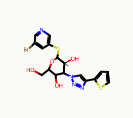 OCC1OC(Sc2cncc(Br)c2)[C@@H](O)C(n2cc(-c3cccs3)nn2)C1O